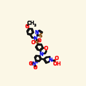 COc1ccc(CN(c2nccs2)S(=O)(=O)c2ccc3c(c2)OCCN3c2ccc([N+](=O)[O-])cc2C2=CCN(C(=O)O)CC2)cc1